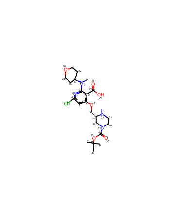 CN(c1nc(Cl)cc(OC[C@H]2CN(C(=O)OC(C)(C)C)CCN2)c1C(=O)O)C1CCOCC1